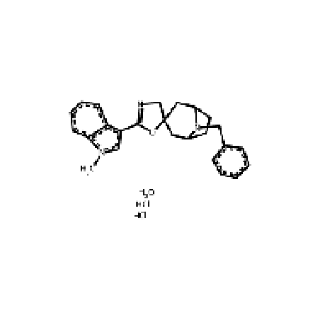 Cl.Cl.Cn1cc(C2=NCC3(CC4CCC(C3)N4Cc3ccccc3)O2)c2ccccc21.O